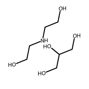 OCC(O)CO.OCCNCCO